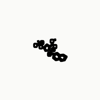 COC(=O)C1CC(OS(C)(=O)=O)CN1S(=O)(=O)c1ccc2ccccc2c1